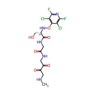 CNCC(=O)C(=O)CNC(=O)CNC(=O)[C@H](CO)NOc1c(Cl)c(F)nc(F)c1Cl